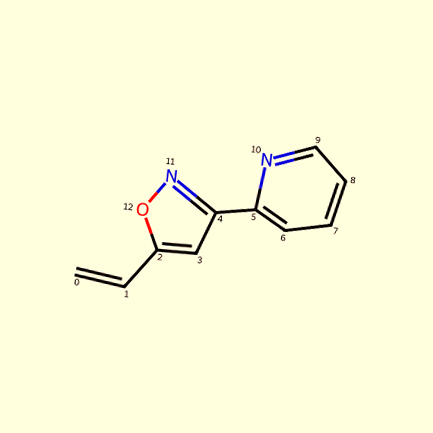 C=Cc1cc(-c2ccccn2)no1